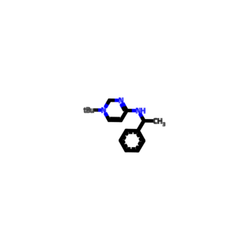 CC(NC1=NCN(C(C)(C)C)C=C1)c1ccccc1